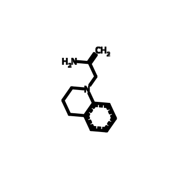 C=C(N)CN1CCCc2ccccc21